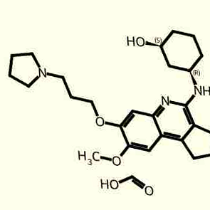 COc1cc2c3c(c(N[C@@H]4CCC[C@H](O)C4)nc2cc1OCCCN1CCCC1)CCC3.O=CO